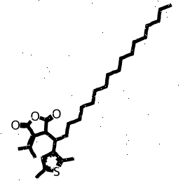 CCCCCCCCCCCCCCCCCC(c1cc(C)sc1C)C1C(=O)OC(=O)C1=C(C)C